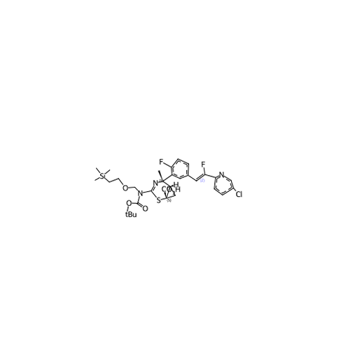 CC(C)(C)OC(=O)N(COCC[Si](C)(C)C)C1=N[C@](C)(c2cc(/C=C(\F)c3ccc(Cl)cn3)ccc2F)[C@@H]2C[C@]2(C(=O)O)S1